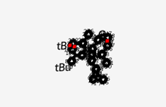 CC(C)(C)c1ccc(C(c2ccc(C(C)(C)C)cc2)c2ccc3c(c2)N(c2cc(-c4ccccc4)cc(-c4ccccc4)c2)c2cc(-c4ccc5oc6ccccc6c5c4)cc4c2B3c2ccc(-c3ccc5c(c3)c3cccc6c7ccccc7n5c63)cc2N4c2cc(-c3ccccc3)cc(-c3ccccc3)c2)cc1